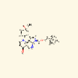 COC1CCC(n2ccc(=O)c3cnc4c(ccn4COCC[Si](C)(C)C)c32)CC1